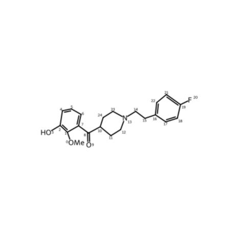 COc1c(O)cccc1C(=O)C1CCN(CCc2ccc(F)cc2)CC1